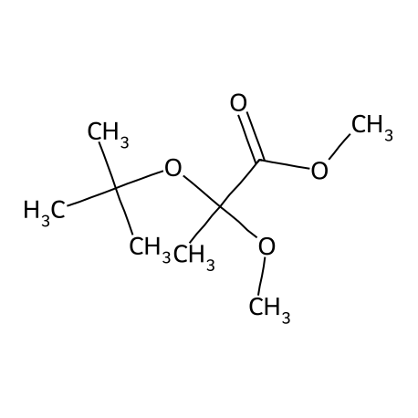 COC(=O)C(C)(OC)OC(C)(C)C